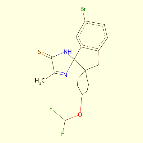 CC1=NC2(NC1=S)c1cc(Br)ccc1CC21CCC(OC(F)F)CC1